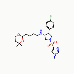 Cn1cnc(S(=O)(=O)N2C[C@H](NCCCCC3OCCC(C)(C)O3)[C@@H](c3ccc(F)cc3)C2)c1